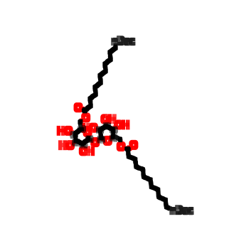 CCCCCCCCCCCCCCCCCCCCCC(=O)OC[C@H]1O[C@H](O[C@H]2O[C@H](COC(=O)CCCCCCCCCCCCCCCCCCCCC)[C@@H](O)[C@H](O)[C@H]2O)[C@H](O)[C@@H](O)[C@@H]1O